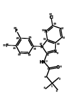 CC(C)(C)CC(=O)Nc1nc2ccc(Cl)nc2n1-c1ccc(F)c(F)c1